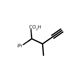 C#CC(C)C(C(=O)O)C(C)C